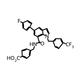 O=C(O)c1ccc(CNC(=O)c2cc(-c3ccc(F)cc3)cc3ccn(Cc4ccc(C(F)(F)F)cc4)c23)cc1